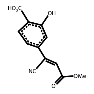 COC(=O)C=C(C#N)c1ccc(C(=O)O)c(O)c1